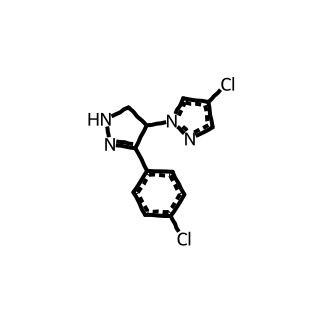 Clc1ccc(C2=NNCC2n2cc(Cl)cn2)cc1